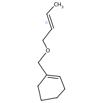 C/C=C/COCC1=CCCCC1